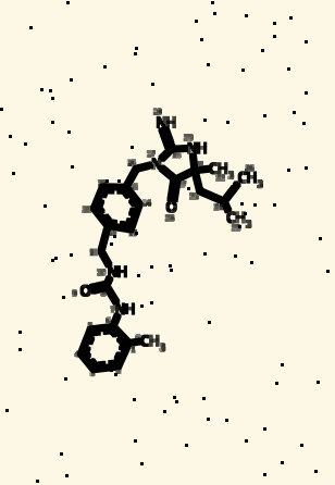 Cc1ccccc1NC(=O)NCc1ccc(CN2C(=N)NC(C)(CC(C)C)C2=O)cc1